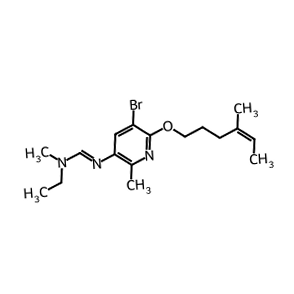 C/C=C(/C)CCCOc1nc(C)c(/N=C/N(C)CC)cc1Br